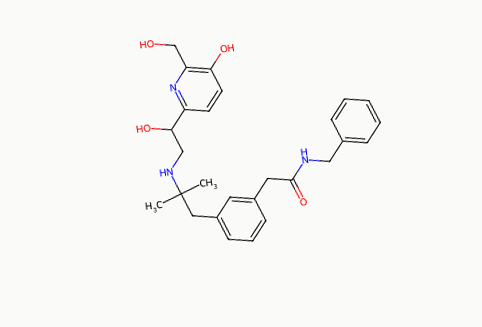 CC(C)(Cc1cccc(CC(=O)NCc2ccccc2)c1)NCC(O)c1ccc(O)c(CO)n1